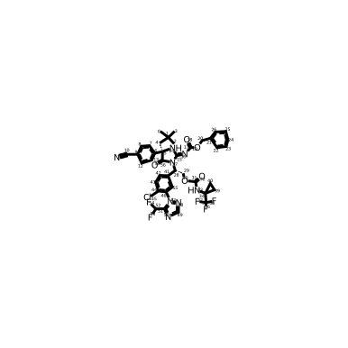 CC(C)(C)C[C@]1(c2ccc(C#N)cc2)N/C(=N\C(=O)OCc2ccccc2)N([C@H](COC(=O)NC2(C(F)(F)F)CC2)c2ccc(Cl)c(-n3ncnc3C(F)F)c2)C1=O